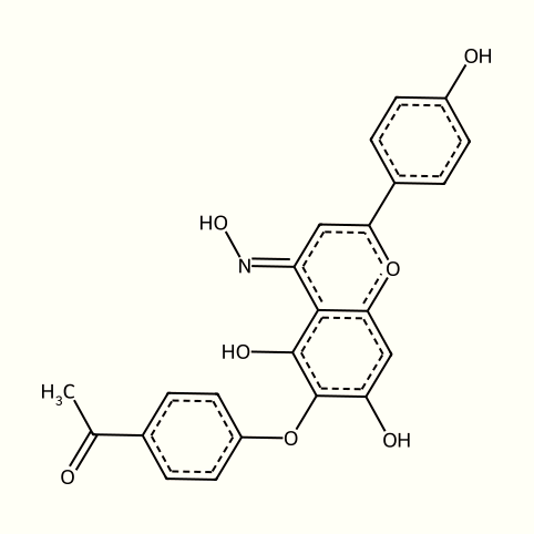 CC(=O)c1ccc(Oc2c(O)cc3oc(-c4ccc(O)cc4)cc(=NO)c3c2O)cc1